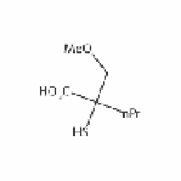 CCCC(S)(COC)C(=O)O